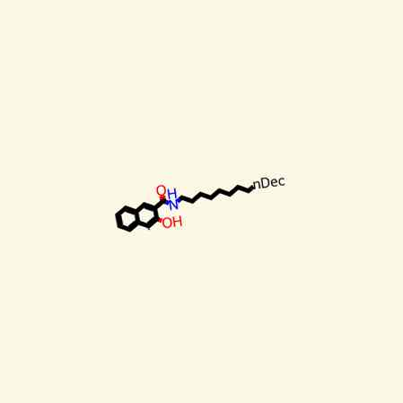 CCCCCCCCCCCCCCCCCCNC(=O)c1cc2ccccc2[c]c1O